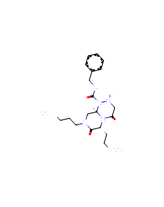 CCN1CC(=O)N2[C@@H](CCSC)C(=O)N(CCCOC)C[C@@H]2N1C(=O)NCc1ccccc1